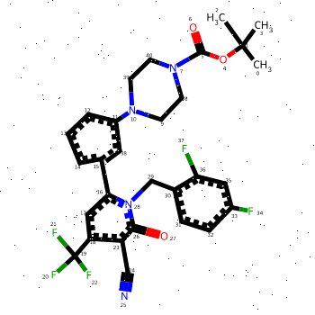 CC(C)(C)OC(=O)N1CCN(c2cccc(-c3cc(C(F)(F)F)c(C#N)c(=O)n3Cc3ccc(F)cc3F)c2)CC1